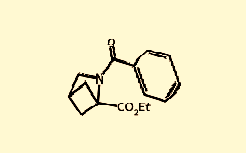 CCOC(=O)C12CC(CN1C(=O)c1ccccc1)C2